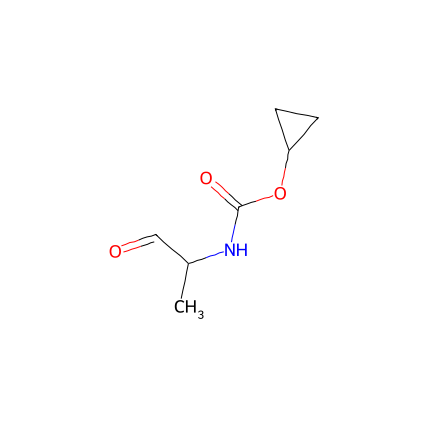 CC(C=O)NC(=O)OC1CC1